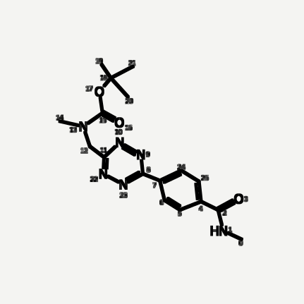 CNC(=O)c1ccc(-c2nnc(CN(C)C(=O)OC(C)(C)C)nn2)cc1